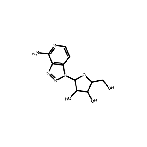 Nc1nccc2c1nnn2C1OC(CO)C(O)C1O